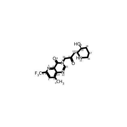 Cc1cc(C(F)(F)F)nc2c(=O)n(CC(=O)C[C@H]3NCCC[C@@H]3O)cnc12